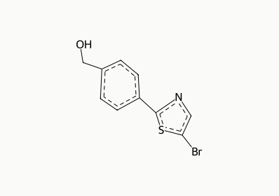 OCc1ccc(-c2ncc(Br)s2)cc1